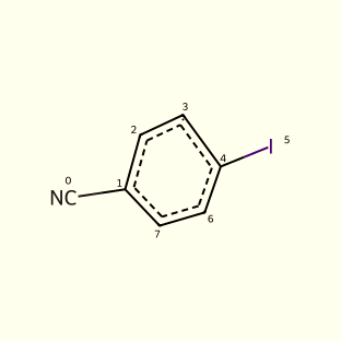 N#Cc1c[c]c(I)cc1